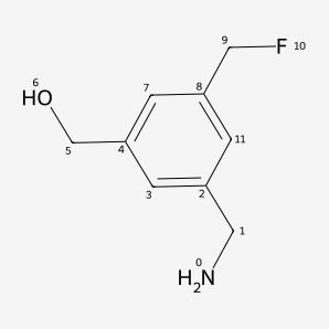 NCc1cc(CO)cc(CF)c1